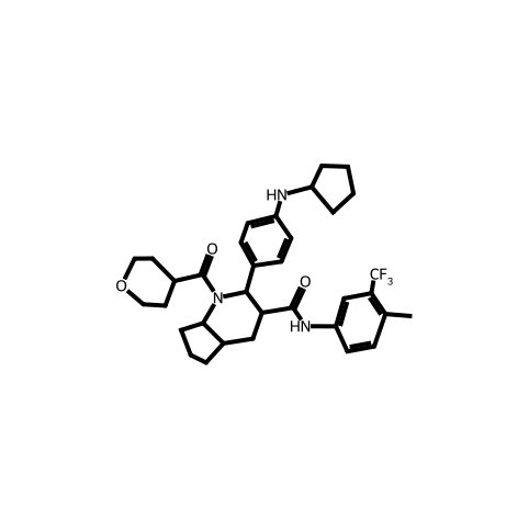 Cc1ccc(NC(=O)C2CC3CCCC3N(C(=O)C3CCOCC3)C2c2ccc(NC3CCCC3)cc2)cc1C(F)(F)F